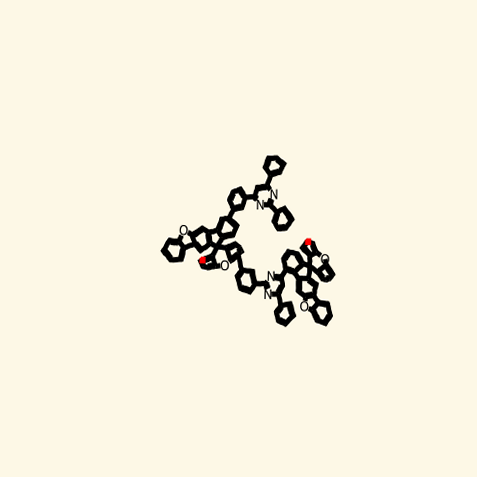 c1ccc(-c2cc(-c3cccc(-c4ccc5c(c4)-c4cc6oc7ccccc7c6cc4C54c5ccccc5Oc5c(-c6cccc(-c7nc(-c8ccccc8)cc(-c8cccc9c8-c8cc%10oc%11ccccc%11c%10cc8C98c9ccccc9Oc9ccccc98)n7)c6)cccc54)c3)nc(-c3ccccc3)n2)cc1